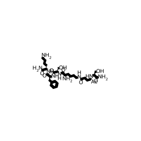 CC(=O)C(CCC(=O)NCCCCC(N)C(=O)N[C@@H](CO)C(=O)N[C@@H](Cc1ccccc1)C(=O)N[C@@H](CCCCN)C(N)=O)N[C@@H](CO)C(N)=O